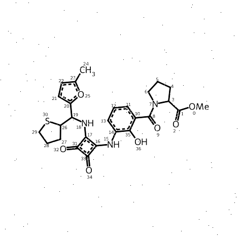 COC(=O)C1CCCN1C(=O)c1cccc(Nc2c(NC(c3ccc(C)o3)C3CCCS3)c(=O)c2=O)c1O